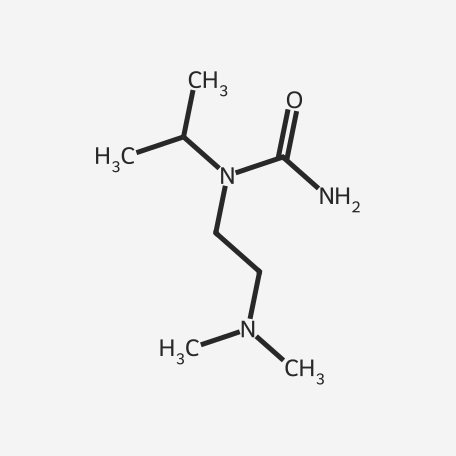 CC(C)N(CCN(C)C)C(N)=O